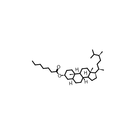 CCCCCCC(=O)O[C@H]1CC[C@@]2(C)[C@@H](CC[C@@H]3[C@@H]2CC[C@]2(C)[C@@H]([C@H](C)CC[C@H](C)C(C)C)CC[C@@H]32)C1